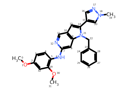 COc1ccc(Nc2cc3c(cn2)cc(-c2cnn(C)c2)n3Cc2ccccc2)c(OC)c1